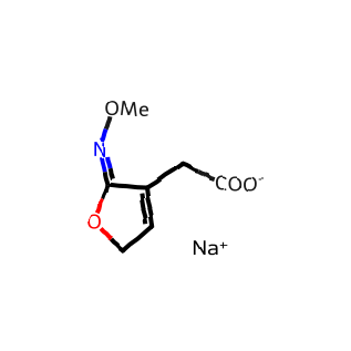 CON=C1OCC=C1CC(=O)[O-].[Na+]